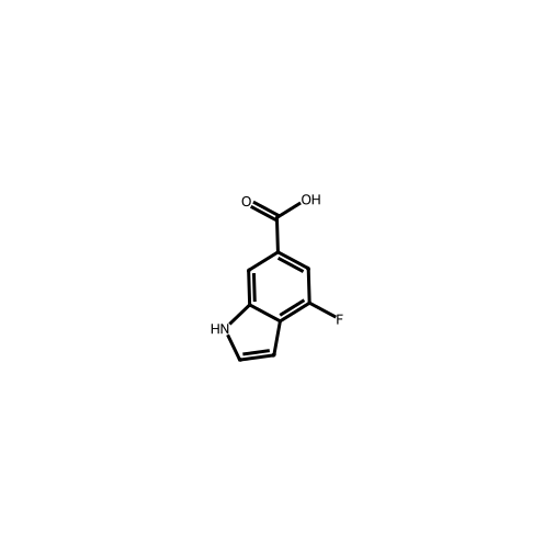 O=C(O)c1cc(F)c2cc[nH]c2c1